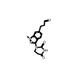 Cn1nc(N2CCC(=O)NC2=O)c2ccc(CCC=O)cc21